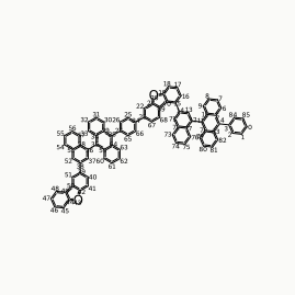 c1ccc(-c2c3ccccc3c(-c3cc(-c4cccc5oc6cc(-c7ccc(-c8c9ccccc9c(-c9cc(-c%10ccc%11oc%12ccccc%12c%11c%10)cc%10ccccc9%10)c9ccccc89)cc7)ccc6c45)cc4ccccc34)c3ccccc23)cc1